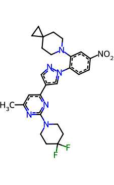 Cc1cc(-c2cnn(-c3ccc([N+](=O)[O-])cc3N3CCC4(CC3)CC4)c2)nc(N2CCC(F)(F)CC2)n1